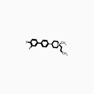 CCC[Si@]1(C)CC[C@@H](c2ccc(-c3ccc(F)c(F)c3)cc2)CC1